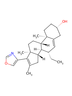 CC[C@H]1C=C2C[C@@H](O)CC[C@]2(C)[C@H]2CC[C@]3(C)C(c4cocn4)=C(C)C[C@H]3[C@H]12